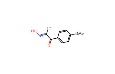 CC/C(=N\O)C(=O)c1ccc(SC)cc1